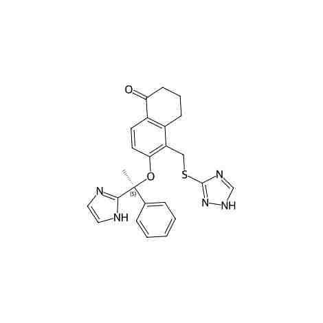 C[C@](Oc1ccc2c(c1CSc1nc[nH]n1)CCCC2=O)(c1ccccc1)c1ncc[nH]1